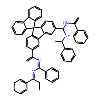 C=C(/N=C(\N=C(/CC)C1=CCCC=C1)c1ccccc1)c1ccc2c(c1)-c1cc(C(NC(=C)c3ccccc3)NC(C)c3ccccc3)ccc1C21c2ccccc2-c2ccccc21